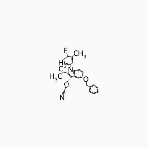 CC1=CC(n2c(C(C)C)c([C@H]3C[C@H](C#N)C3)c3cc(OCc4ccccc4)ccc32)=CCC1F